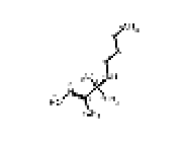 CCCCNC(C)(C)/C(C)=N/O